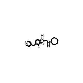 Fc1c(Cc2ccncc2)ccc2[nH]c(CNC3CCCCCCC3)nc12